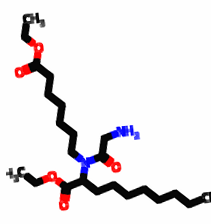 CCCCCCCCC(C(=O)OCC)N(CCCCCCC(=O)OCC)C(=O)CN